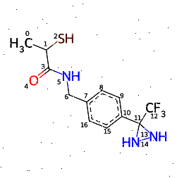 CC(S)C(=O)NCc1ccc(C2(C(F)(F)F)NN2)cc1